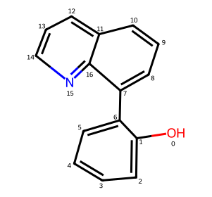 Oc1ccccc1-c1cccc2cccnc12